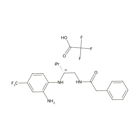 CC(C)[C@H](CNC(=O)Cc1ccccc1)Nc1ccc(C(F)(F)F)cc1N.O=C(O)C(F)(F)F